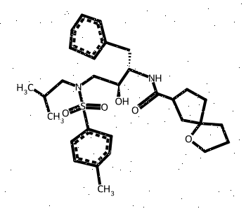 Cc1ccc(S(=O)(=O)N(CC(C)C)C[C@H](O)[C@H](Cc2ccccc2)NC(=O)C2CCC3(CCCO3)C2)cc1